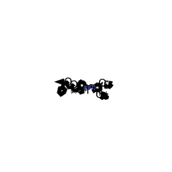 C=C1/C(=C\C=C2/CCC[C@]3(C)[C@@H]([C@H](C)C(O)CC(=O)C4(c5ccccc5)CC4)CC[C@@H]23)C[C@@H](O[Si](C)(C)C(C)(C)C)C[C@@H]1O[Si](C)(C)C(C)(C)C